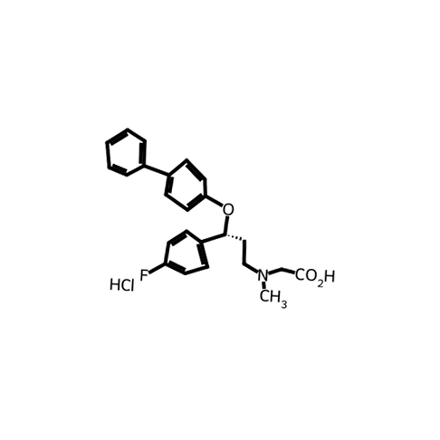 CN(CC[C@@H](Oc1ccc(-c2ccccc2)cc1)c1ccc(F)cc1)CC(=O)O.Cl